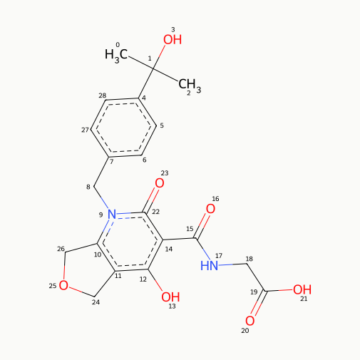 CC(C)(O)c1ccc(Cn2c3c(c(O)c(C(=O)NCC(=O)O)c2=O)COC3)cc1